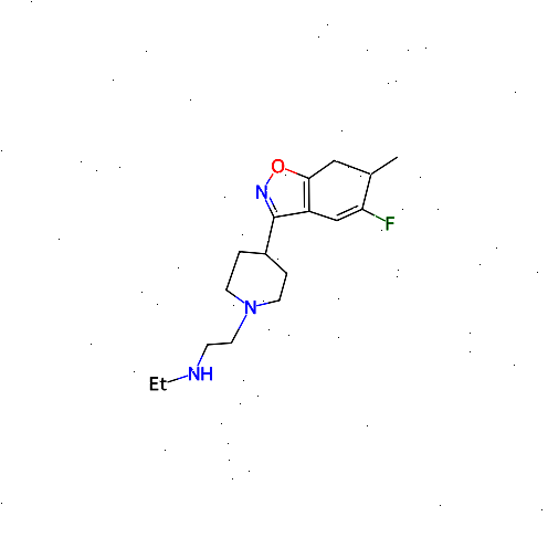 CCNCCN1CCC(c2noc3c2C=C(F)C(C)C3)CC1